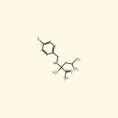 CC(C)CC(C)(NCc1ccc(F)cc1)C(=O)O